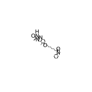 C=c1c(=O)[nH]c2n1Cc1c(ccc(OCCCCCCC(=O)N(C)c3ccccc3)c1C)N=2